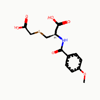 COc1ccc(C(=O)N[C@@H](CSCC(=O)O)C(=O)O)cc1